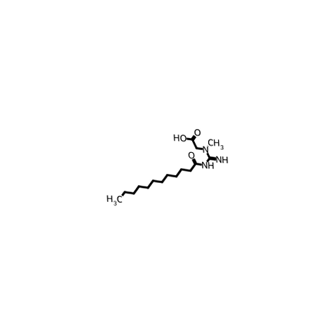 CCCCCCCCCCCC(=O)NC(=N)N(C)CC(=O)O